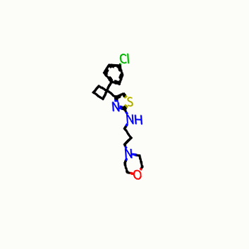 Clc1ccc(C2(c3csc(NCCCN4CCOCC4)n3)CCC2)cc1